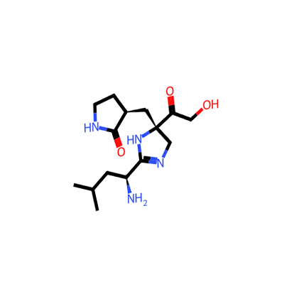 CC(C)C[C@H](N)C1=NC[C@@](C[C@@H]2CCNC2=O)(C(=O)CO)N1